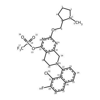 CN1CCCC1COc1nc2c(c(OS(=O)(=O)C(F)(F)F)n1)CCN(c1cccc3ccc(F)c(Cl)c13)C2